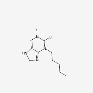 CCCCCN1C2=NCNC2=CN(C)C1Cl